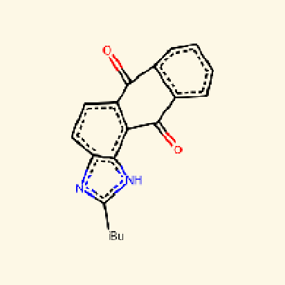 CCC(C)c1nc2ccc3c(c2[nH]1)C(=O)c1ccccc1C3=O